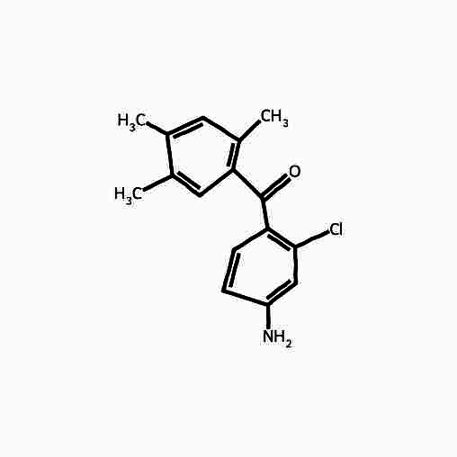 Cc1cc(C)c(C(=O)c2ccc(N)cc2Cl)cc1C